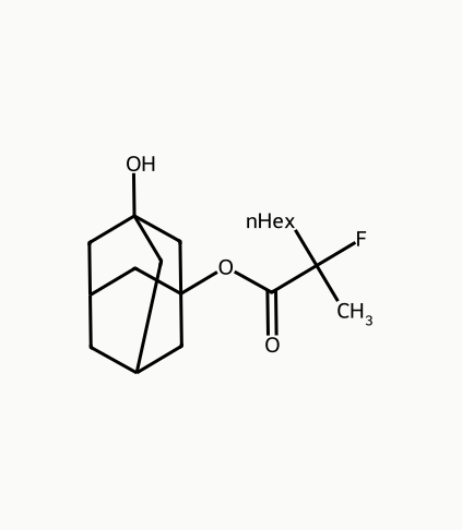 CCCCCCC(C)(F)C(=O)OC12CC3CC(CC(O)(C3)C1)C2